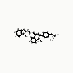 CCN(CC)Cc1ccc(C2=C/C(=C/C=C/C3Sc4ccccc4N3C)c3ccccc3N2C)cc1